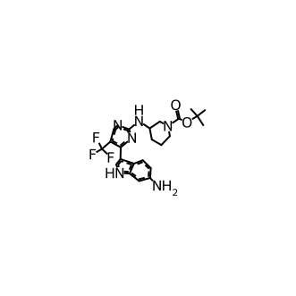 CC(C)(C)OC(=O)N1CCCC(Nc2ncc(C(F)(F)F)c(-c3c[nH]c4cc(N)ccc34)n2)C1